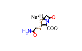 NC(=O)CSC1=C(C(=O)[O-])N2C(=O)C[C@H]2S1.[Na+]